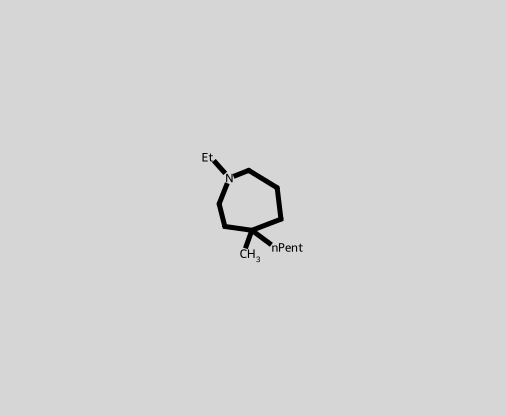 CCCCCC1(C)CCCN(CC)CC1